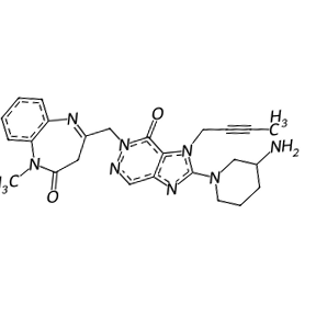 CC#CCn1c(N2CCCC(N)C2)nc2cnn(CC3=Nc4ccccc4N(C)C(=O)C3)c(=O)c21